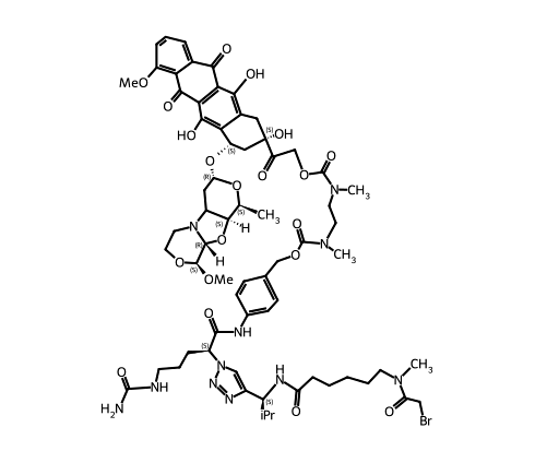 COc1cccc2c1C(=O)c1c(O)c3c(c(O)c1C2=O)C[C@@](O)(C(=O)COC(=O)N(C)CCN(C)C(=O)OCc1ccc(NC(=O)[C@H](CCCNC(N)=O)n2cc([C@@H](NC(=O)CCCCCN(C)C(=O)CBr)C(C)C)nn2)cc1)C[C@@H]3O[C@H]1CC2[C@H](O[C@@H]3[C@@H](OC)OCCN23)[C@H](C)O1